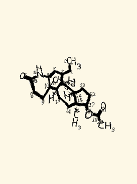 CCC1C=C2NC(=O)CC[C@]2(C)[C@@H]2CC[C@]3(C)C(OC(C)=O)CC[C@H]3[C@H]12